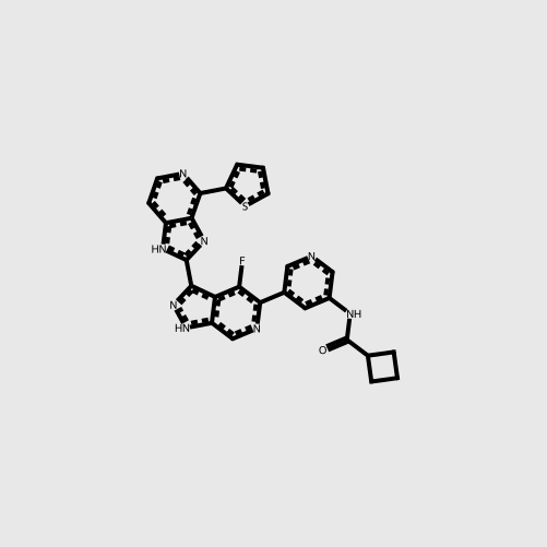 O=C(Nc1cncc(-c2ncc3[nH]nc(-c4nc5c(-c6cccs6)nccc5[nH]4)c3c2F)c1)C1CCC1